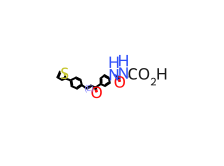 O=C(O)CNC(=O)Nc1ccc(C(=O)/C=C/c2ccc(-c3cccs3)cc2)cc1